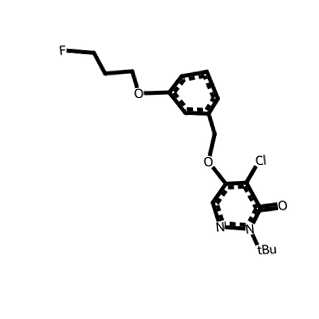 CC(C)(C)n1ncc(OCc2cccc(OCCCF)c2)c(Cl)c1=O